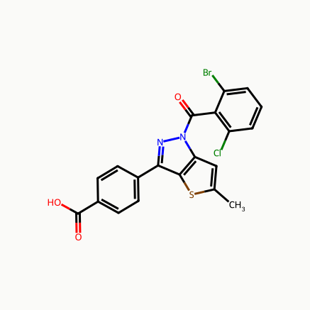 Cc1cc2c(s1)c(-c1ccc(C(=O)O)cc1)nn2C(=O)c1c(Cl)cccc1Br